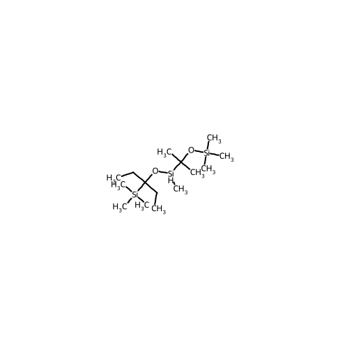 CCC(CC)(O[SiH](C)C(C)(C)O[Si](C)(C)C)[Si](C)(C)C